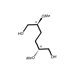 CO[C@H](CO)CC[C@H](CO)OC